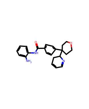 Nc1ccccc1NC(=O)c1ccc(C2(C3CC=CC=N3)CCOCC2)cc1